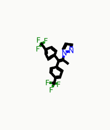 CC(=C(c1ccc(C(F)(F)F)cc1)c1ccc(C(F)(F)F)cc1)n1cccn1